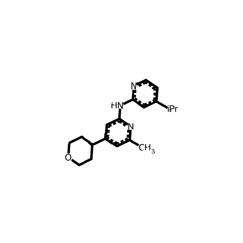 Cc1cc(C2CCOCC2)cc(Nc2cc(C(C)C)ccn2)n1